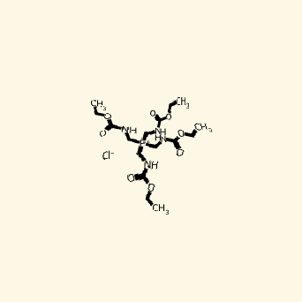 CCOC(=O)NC[P+](CNC(=O)OCC)(CNC(=O)OCC)CNC(=O)OCC.[Cl-]